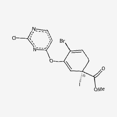 COC(=O)[C@@]1(I)C=C(Oc2ccnc(Cl)n2)C(Br)=CC1